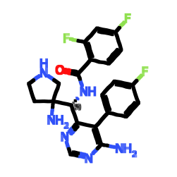 Nc1ncnc([C@@H](NC(=O)c2ccc(F)cc2F)C2(N)CCNC2)c1-c1ccc(F)cc1